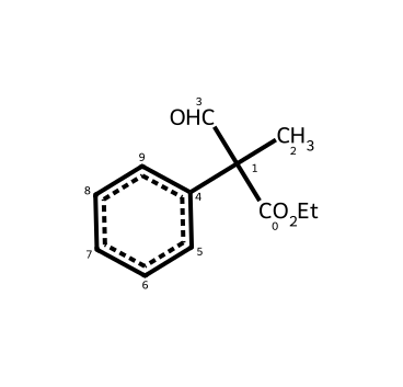 CCOC(=O)C(C)(C=O)c1ccccc1